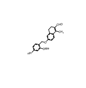 CCCc1ccc(COc2ccc3c(c2)CCC(C=O)=C3C)c(OC)c1